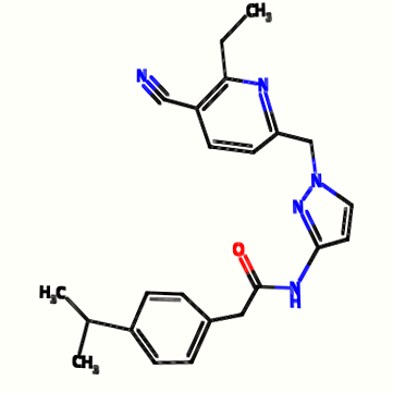 CCc1nc(Cn2ccc(NC(=O)Cc3ccc(C(C)C)cc3)n2)ccc1C#N